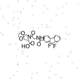 O=C(NCC(=O)N1CC2(CC1C(=O)O)OCCO2)c1ccc2c(c1)C(F)(F)c1ccccc1-2